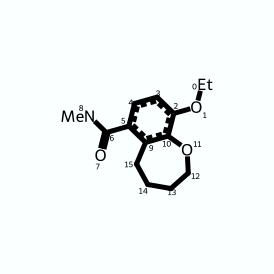 CCOc1ccc(C(=O)NC)c2c1OCCCC2